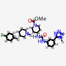 COC(=O)N1CC[C@@H](NC(=O)Nc2cccc(-c3nnnn3C)c2)[C@H](CN2CCC[C@@H](Cc3ccc(F)cc3)C2)C1